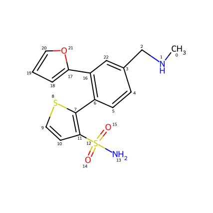 CNCc1ccc(-c2sccc2S(N)(=O)=O)c(-c2ccco2)c1